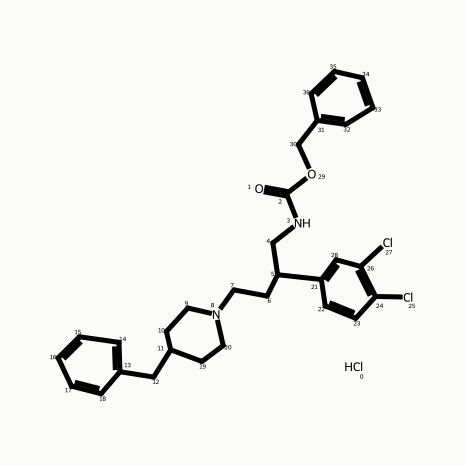 Cl.O=C(NCC(CCN1CCC(Cc2ccccc2)CC1)c1ccc(Cl)c(Cl)c1)OCc1ccccc1